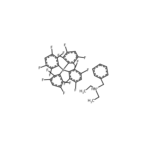 CC[NH+](CC)Cc1ccccc1.Fc1cc(F)c(F)c([B-](c2c(F)c(F)cc(F)c2F)(c2c(F)c(F)cc(F)c2F)c2c(F)c(F)cc(F)c2F)c1F